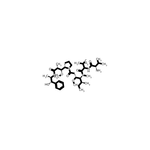 CC[C@H](C)[C@@H]([C@@H](CC(=O)N1CCC[C@H]1[C@H](OC)[C@@H](C)C(=O)N[C@H](C)[C@@H](O)c1ccccc1)OC)N(C)C(=O)C(NC(=O)[C@@H](N)C(C)C)C(C)C